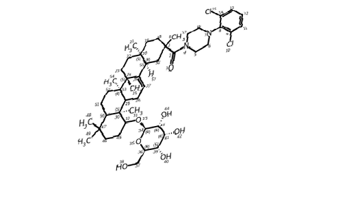 CC1(C(=O)N2CCN(c3c(Cl)cccc3Cl)CC2)CC[C@]2(C)CC[C@]3(C)C(=CCC4[C@@]5(C)C(O[C@@H]6O[C@H](CO)[C@@H](O)[C@@H](O)[C@H]6O)CCC(C)(C)C5CC[C@]43C)[C@@H]2C1